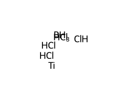 B.Cl.Cl.Cl.Cl.[Ti]